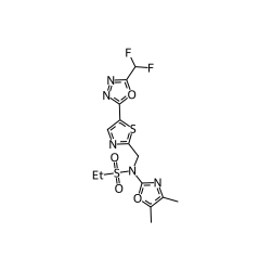 CCS(=O)(=O)N(Cc1ncc(-c2nnc(C(F)F)o2)s1)c1nc(C)c(C)o1